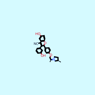 C[C@@H]1CCN([C@@H](C)COc2ccc(C3Oc4ccc(O)cc4C(C#N)=C3c3cccc(O)c3)cc2)C1